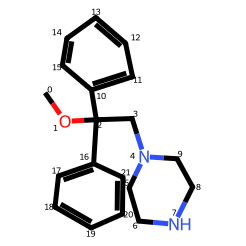 COC(CN1CCNCC1)(c1ccccc1)c1ccccc1